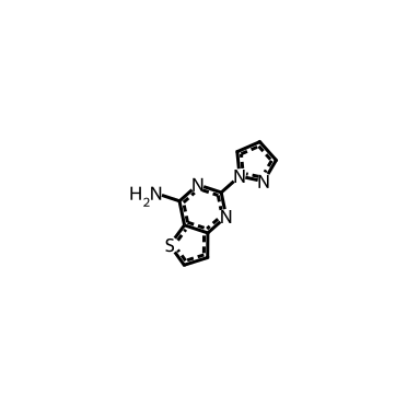 Nc1nc(-n2cccn2)nc2ccsc12